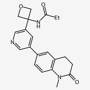 CCC(=O)NC1(c2cncc(-c3ccc4c(c3)CCC(=O)N4C)c2)COC1